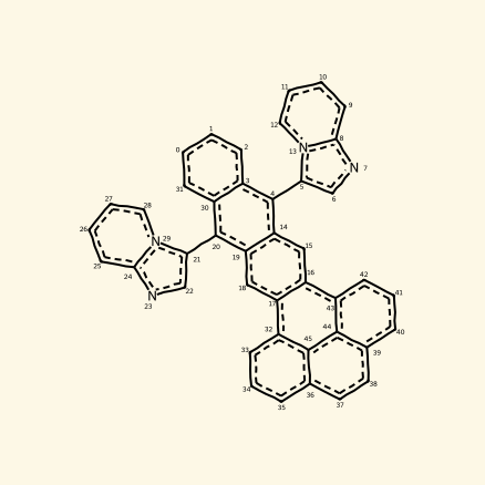 c1ccc2c(-c3cnc4ccccn34)c3cc4c(cc3c(-c3cnc5ccccn35)c2c1)c1cccc2ccc3cccc4c3c21